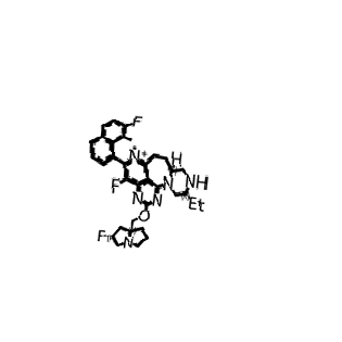 CC[C@@H]1CN2c3nc(OC[C@@]45CCCN4C[C@H](F)C5)nc4c(F)c(-c5cccc6ccc(F)c(C)c56)[n+](C)c(c34)CC[C@H]2CN1